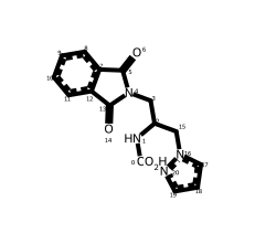 O=C(O)NC(CN1C(=O)c2ccccc2C1=O)Cn1cccn1